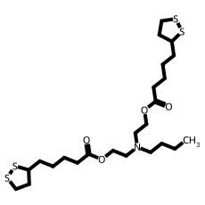 CCCCN(CCOC(=O)CCCCC1CCSS1)CCOC(=O)CCCCC1CCSS1